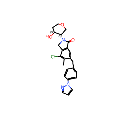 Cc1c(Cc2ccc(-n3cccn3)cc2)cc2c(c1Cl)CN([C@H]1COCC[C@@H]1O)C2=O